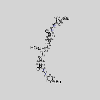 CC(C)(C)c1ccc(/C=C/C=C/C(=O)N2CCN(CCCCCCCCN3CCN(C(=O)/C=C/C=C/c4ccc(C(C)(C)C)cc4)CC3)CC2)cc1.Cl.Cl